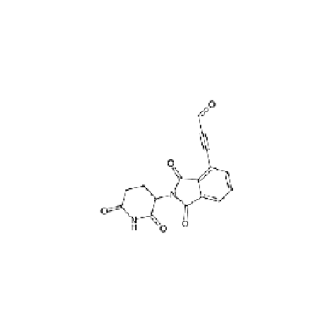 O=CC#Cc1cccc2c1C(=O)N(C1CCC(=O)NC1=O)C2=O